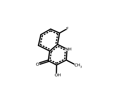 Cc1[nH]c2c(F)cccc2c(=O)c1O